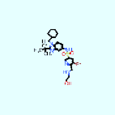 CC(C)(C)c1nc2cc(NS(=O)(=O)c3cnc(CNCCO)c(Br)c3)ccc2n1CC1CCCCC1